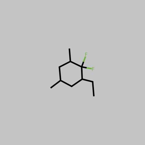 CCC1CC(C)CC(C)C1(F)F